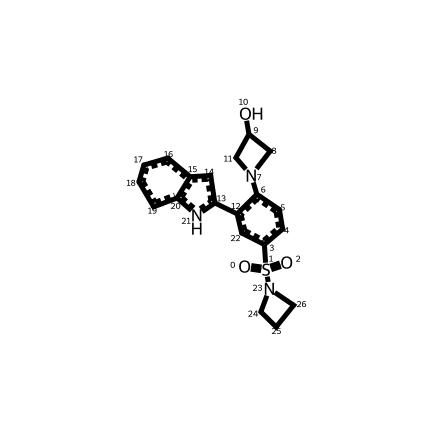 O=S(=O)(c1ccc(N2CC(O)C2)c(-c2cc3ccccc3[nH]2)c1)N1CCC1